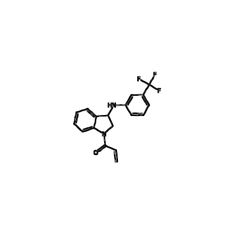 C=CC(=O)N1CC(Nc2cccc(C(F)(F)F)c2)c2ccccc21